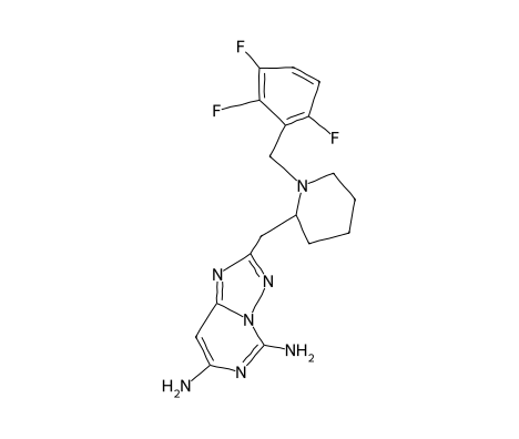 Nc1cc2nc(CC3CCCCN3Cc3c(F)ccc(F)c3F)nn2c(N)n1